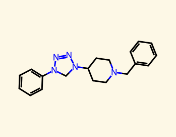 c1ccc(CN2CCC(N3CN(c4ccccc4)N=N3)CC2)cc1